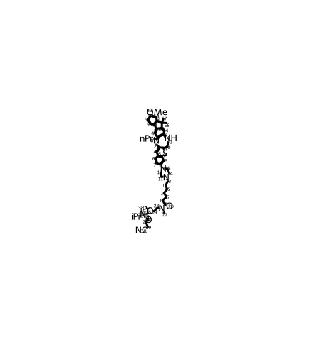 CCCN1CC2=Cc3ccc(N4CCN(CCCCCCC(=O)N(C)CCOP(OCCC#N)N(C(C)C)C(C)C)CC4)cc3SC2CCNc2cc3c(cc21)-c1ccc(OC)cc1C3(C)C